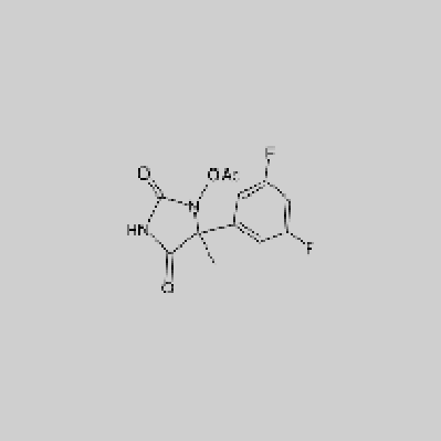 CC(=O)ON1C(=O)NC(=O)C1(C)c1cc(F)cc(F)c1